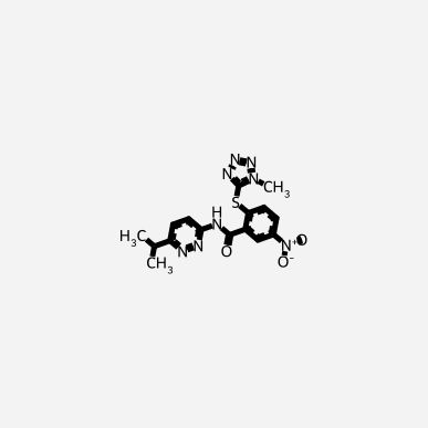 CC(C)c1ccc(NC(=O)c2cc([N+](=O)[O-])ccc2Sc2nnnn2C)nn1